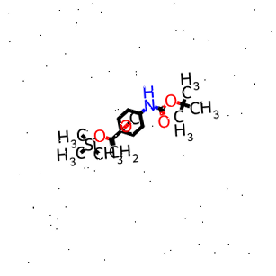 C=C(O[Si](C)(C)C)C12CCC(NC(=O)OC(C)(C)C)(CC1)CO2